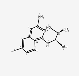 CCCC[C@@H](Nc1nc(N)nc2cc(F)cnc12)[C@H](C)O